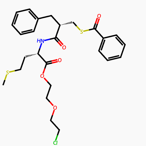 CSCC[C@H](NC(=O)[C@@H](CSC(=O)c1ccccc1)Cc1ccccc1)C(=O)OCCOCCCl